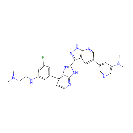 CN(C)CCNc1cc(F)cc(-c2ccnc3[nH]c(-c4n[nH]c5ncc(-c6cncc(N(C)C)c6)cc45)nc23)c1